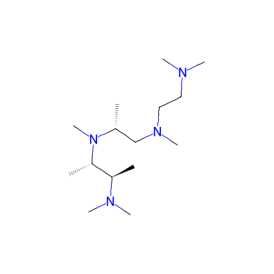 C[C@H]([C@H](C)N(C)[C@H](C)CN(C)CCN(C)C)N(C)C